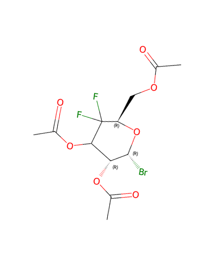 CC(=O)OC[C@H]1O[C@H](Br)[C@H](OC(C)=O)C(OC(C)=O)C1(F)F